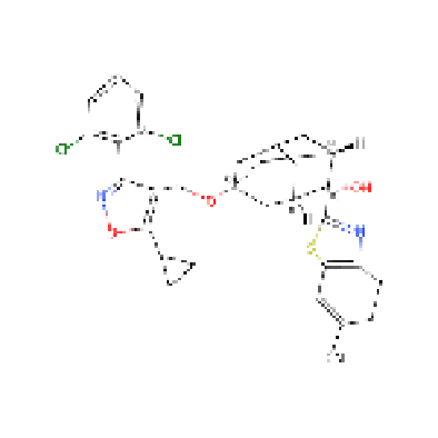 N#CC1=Cc2sc([C@@]3(O)[C@@H]4CC5C[C@H]3C[C@](OCc3c(-c6c(Cl)cccc6Cl)noc3C3CC3)(C5)C4)nc2CC1